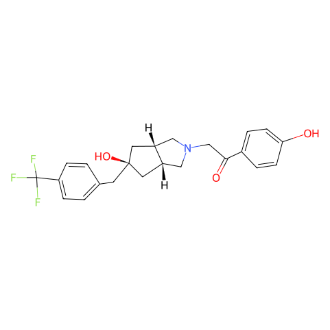 O=C(CN1C[C@@H]2C[C@](O)(Cc3ccc(C(F)(F)F)cc3)C[C@@H]2C1)c1ccc(O)cc1